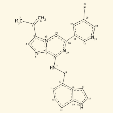 C=C(C)c1cnc2c(NCc3cccc4[nH]ccc34)nc(-c3cncc(F)c3)cn12